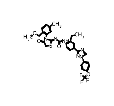 CCc1cc(-c2ncn(-c3ccc(OC(F)(F)F)cc3)n2)ccc1NC(=O)N=C1SCC(=O)N1c1cc(C)ccc1COC